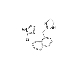 CCc1ncc[nH]1.c1ccc2c(CC3=NCCN3)cccc2c1